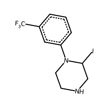 FC(F)(F)c1cccc(N2CCNCC2I)c1